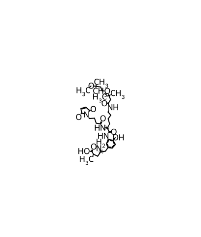 COC(C)(C)CCOC(C)(C)CC(=O)NCCCC[C@H](NC(=O)CCCN1C(=O)C=CC1=O)C(=O)Nc1cc(C[C@H](N)CC(C)C(=O)O)ccc1O